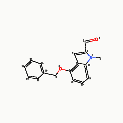 Cn1c([C]=O)cc2c(OCc3ccccc3)cccc21